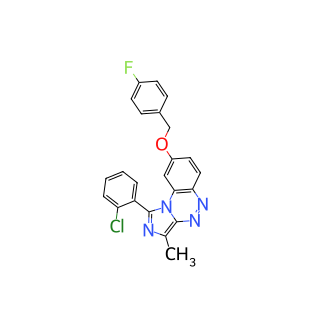 Cc1nc(-c2ccccc2Cl)n2c1nnc1ccc(OCc3ccc(F)cc3)cc12